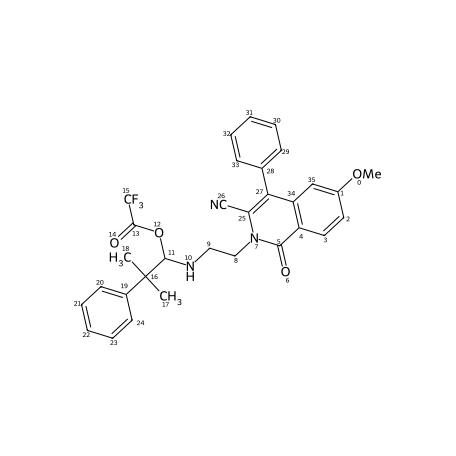 COc1ccc2c(=O)n(CCNC(OC(=O)C(F)(F)F)C(C)(C)c3ccccc3)c(C#N)c(-c3ccccc3)c2c1